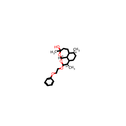 C[C@H]1C(OCCOc2ccccc2)O[C@@H]2OC(C)(O)CCC3C2C1CC[C@H]3C